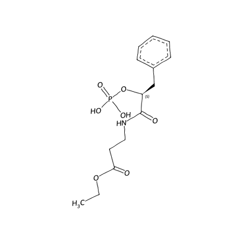 CCOC(=O)CCNC(=O)[C@H](Cc1ccccc1)OP(=O)(O)O